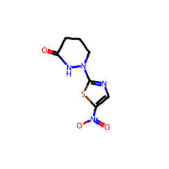 O=C1CCCN(c2ncc([N+](=O)[O-])s2)N1